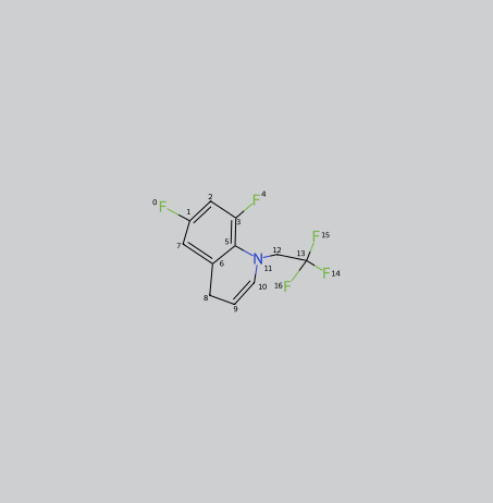 Fc1cc(F)c2c(c1)CC=CN2CC(F)(F)F